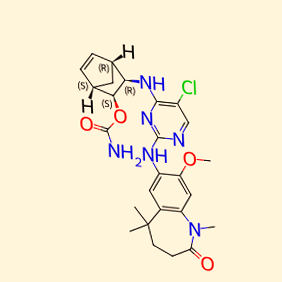 COc1cc2c(cc1Nc1ncc(Cl)c(N[C@H]3[C@@H](OC(N)=O)[C@@H]4C=C[C@H]3C4)n1)C(C)(C)CCC(=O)N2C